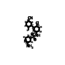 Cc1ccc(C#N)cc1-c1nc(NS(=O)(=O)c2ccnc(N)c2)ccc1Cl